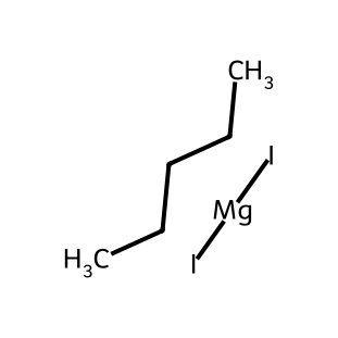 CCCCC.[I][Mg][I]